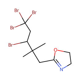 CC(C)(CC1=NCCO1)C(Br)CC(Br)(Br)Br